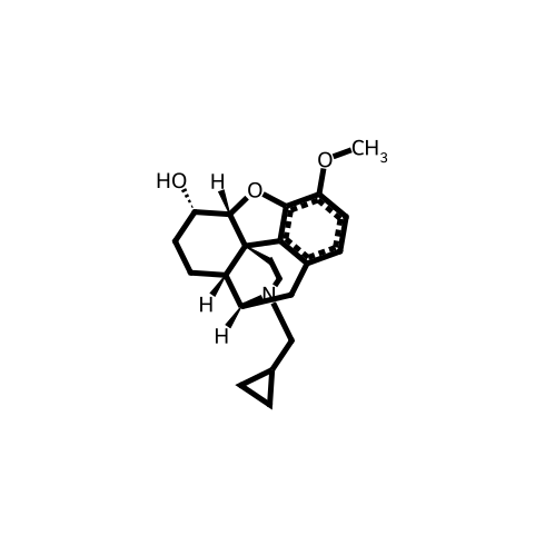 COc1ccc2c3c1O[C@H]1[C@@H](O)CC[C@H]4[C@@H](C2)N(CC2CC2)CC[C@@]341